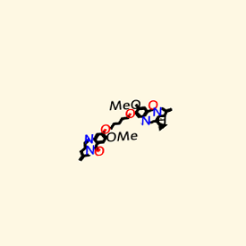 C=C1CC2C=Nc3cc(OCCCCCOc4cc5c(cc4OC)C(=O)N4CC(=C)C[C@H]4C(C4CC4)CN5C)c(OC)cc3C(=O)N2C1